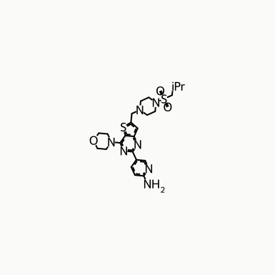 CC(C)CS(=O)(=O)N1CCN(Cc2cc3nc(-c4ccc(N)nc4)nc(N4CCOCC4)c3s2)CC1